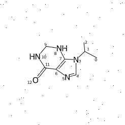 CC(C)n1cnc2c1NCNC2=O